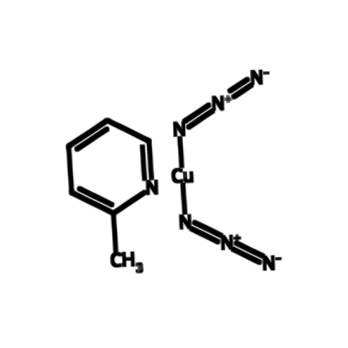 Cc1ccccn1.[N-]=[N+]=[N][Cu][N]=[N+]=[N-]